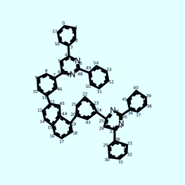 c1ccc(-c2cc(-c3cccc(-c4ccc5cccc(-c6cccc(-c7cc(-c8ccccc8)nc(-c8ccccc8)n7)c6)c5c4)c3)nc(-c3ccccc3)n2)cc1